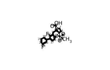 CS(=O)(=O)NC1CCN(C(=O)O)C1Cc1cccc(-c2cccc(F)c2)c1F